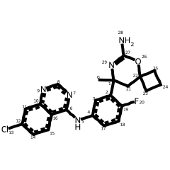 CC1(c2cc(Nc3ncnc4cc(Cl)ccc34)ccc2F)CC2(CCC2)OC(N)=N1